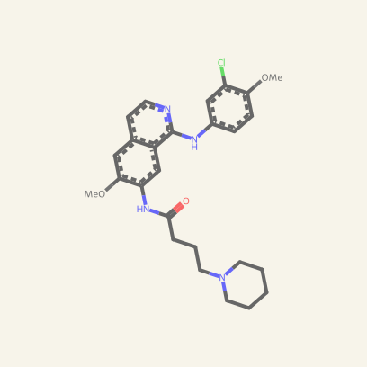 COc1ccc(Nc2nccc3cc(OC)c(NC(=O)CCCN4CCCCC4)cc23)cc1Cl